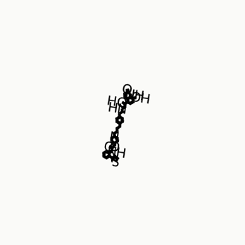 O=C(Nc1ccccc1-c1ccsc1)OC1CCN(CCCCc2ccc(CCNCC(O)c3ccc(O)c4[nH]c(=O)ccc34)cc2)CC1